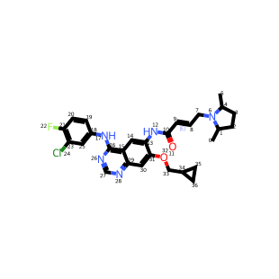 CC1CCC(C)N1C/C=C/C(=O)Nc1cc2c(Nc3ccc(F)c(Cl)c3)ncnc2cc1OCC1CC1